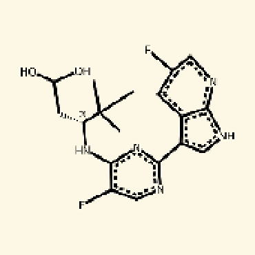 CC(C)(C)[C@@H](CC(O)O)Nc1nc(-c2c[nH]c3ncc(F)cc23)ncc1F